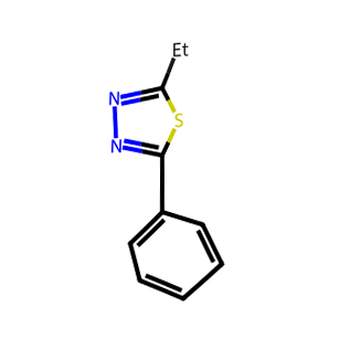 [CH2]Cc1nnc(-c2ccccc2)s1